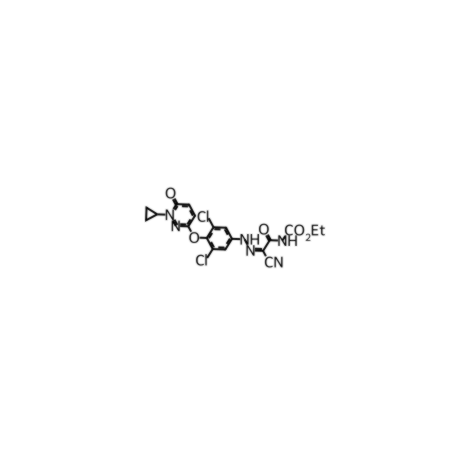 CCOC(=O)NC(=O)C(C#N)=NNc1cc(Cl)c(Oc2ccc(=O)n(C3CC3)n2)c(Cl)c1